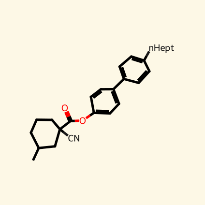 CCCCCCCc1ccc(-c2ccc(OC(=O)C3(C#N)CCCC(C)C3)cc2)cc1